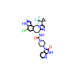 O=C(N[C@@H]1Cc2cc(Cl)c3[nH]ncc3c2Cn2c(C3(C(F)(F)F)CC3)cnc21)N1CCC(n2c(=O)[nH]c3ncccc32)CC1